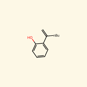 C=C(CCCC)c1ccccc1O